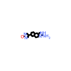 COc1ncc(-c2ccc3c(c2)CCC2(CNC(N)=N2)C3)cn1